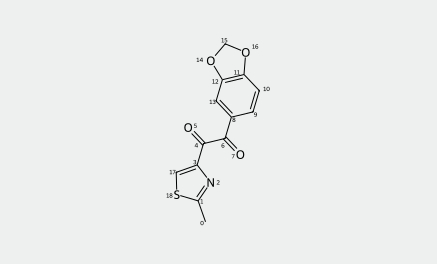 Cc1nc(C(=O)C(=O)c2ccc3c(c2)OCO3)cs1